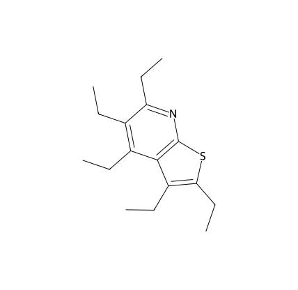 CCc1nc2sc(CC)c(CC)c2c(CC)c1CC